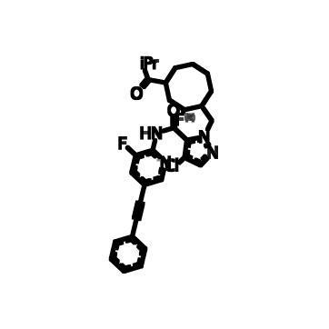 CC(C)C(=O)C1CCCCC(Cn2ncc(Cl)c2C(=O)Nc2ncc(C#Cc3ccccc3)cc2F)[C@H](F)C1